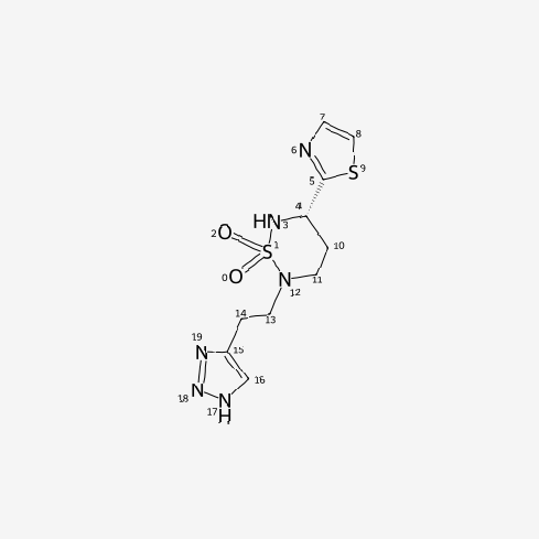 O=S1(=O)N[C@H](c2nccs2)CCN1CCc1c[nH]nn1